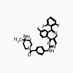 CC1(N)CCN(C(=O)c2ccc(Nc3ncc4c(n3)-c3ccc(I)cc3C(c3c(F)cccc3F)=NC4)cc2)CC1